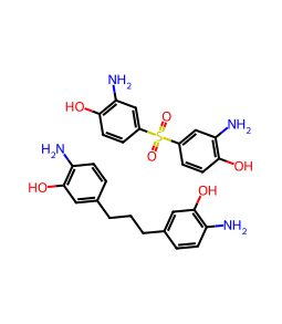 Nc1cc(S(=O)(=O)c2ccc(O)c(N)c2)ccc1O.Nc1ccc(CCCc2ccc(N)c(O)c2)cc1O